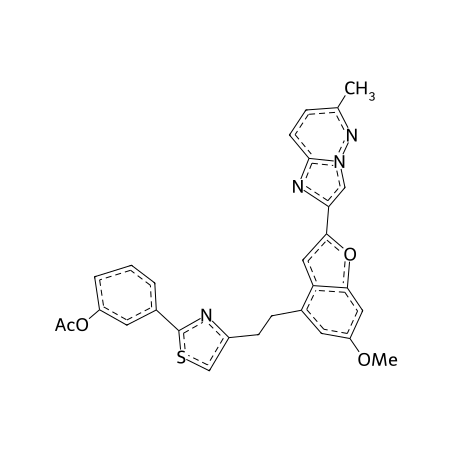 COc1cc(CCc2csc(-c3cccc(OC(C)=O)c3)n2)c2cc(-c3cn4nc(C)ccc4n3)oc2c1